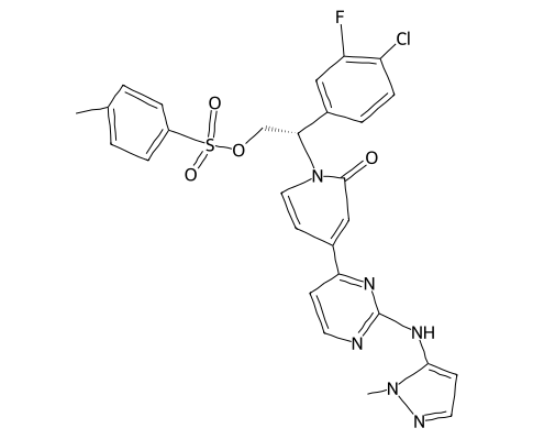 Cc1ccc(S(=O)(=O)OC[C@H](c2ccc(Cl)c(F)c2)n2ccc(-c3ccnc(Nc4ccnn4C)n3)cc2=O)cc1